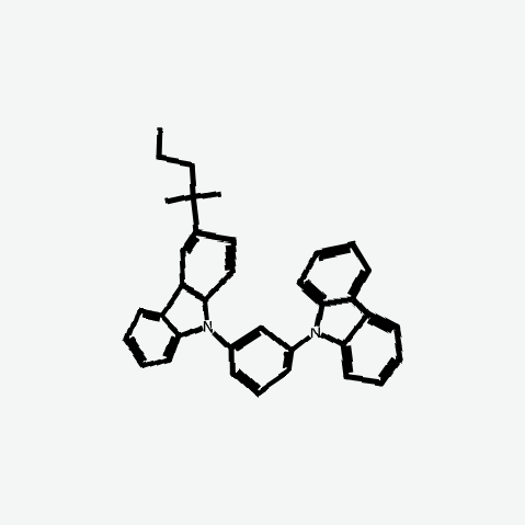 CCCC(C)(C)C1=CC2c3ccccc3N(c3cccc(-n4c5ccccc5c5ccccc54)c3)C2C=C1